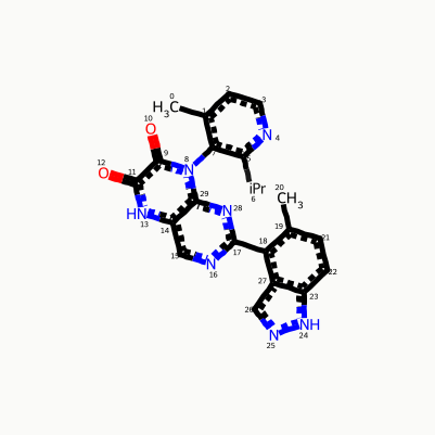 Cc1ccnc(C(C)C)c1-n1c(=O)c(=O)[nH]c2cnc(-c3c(C)ccc4[nH]ncc34)nc21